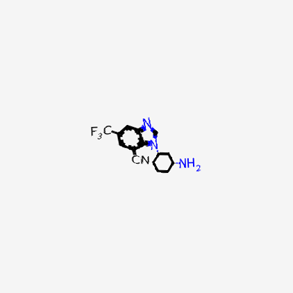 N#Cc1cc(C(F)(F)F)cc2ncn([C@H]3CCC[C@@H](N)C3)c12